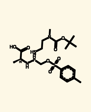 Cc1ccc(S(=O)(=O)OC[PH](N[C@@H](C)C(=O)O)=[SH]CCN(C)C(=O)OC(C)(C)C)cc1